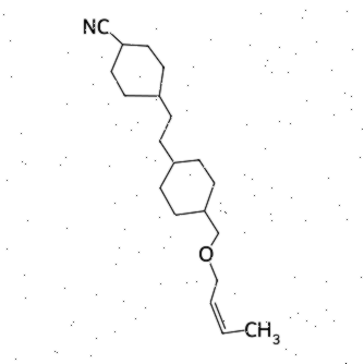 C/C=C\COCC1CCC(CCC2CCC(C#N)CC2)CC1